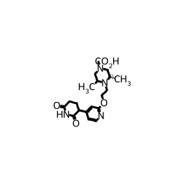 CC1CN(C(=O)O)C[C@H](C)N1CCOc1cc(C2CCC(=O)NC2=O)ccn1